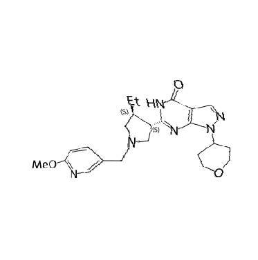 CC[C@@H]1CN(Cc2ccc(OC)nc2)C[C@H]1c1nc2c(cnn2C2CCOCC2)c(=O)[nH]1